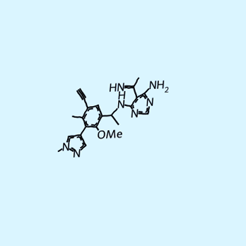 C#Cc1cc(C(C)Nc2ncnc(N)c2C(C)=N)c(OC)c(-c2cnn(C)c2)c1C